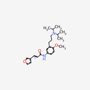 COc1ccc(NC(=O)/C=C/c2ccoc2)cc1CCCN(C(C)C)C(C)C